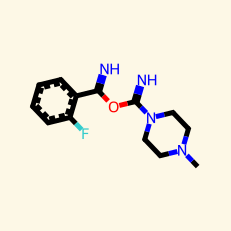 CN1CCN(C(=N)OC(=N)c2ccccc2F)CC1